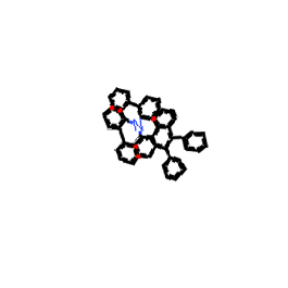 c1ccc(-c2ccccc2N(c2ccccc2-c2ccccc2)c2cccc3c(-c4ccccc4)c(-c4ccccc4)c4ccccc4c23)cc1